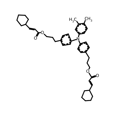 Cc1ccc(N(c2ccc(CCCOC(=O)/C=C/C3CCCCC3)cc2)c2ccc(CCCOC(=O)/C=C/C3CCCCC3)cc2)cc1C